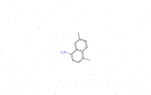 Cc1ccc2c(C)ccc(N)c2c1